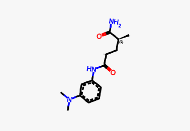 C[C@@H](C[CH]C(=O)Nc1cccc(N(C)C)c1)C(N)=O